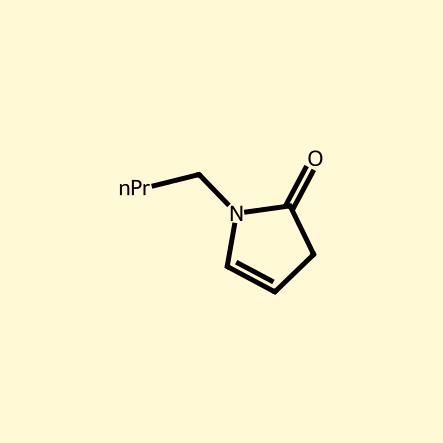 CCCCN1C=CCC1=O